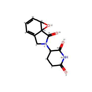 O=C1CCC(N2CC3=CC=CC4OC34C2=O)C(=O)N1